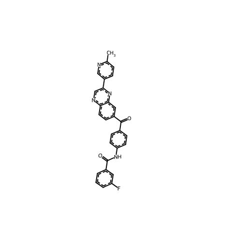 Cc1ccc(-c2cnc3ccc(C(=O)c4ccc(NC(=O)c5cccc(F)c5)cc4)cc3n2)cn1